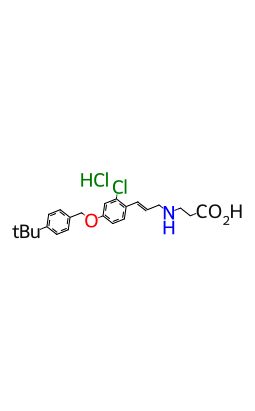 CC(C)(C)c1ccc(COc2ccc(/C=C/CNCCC(=O)O)c(Cl)c2)cc1.Cl